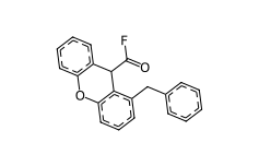 O=C(F)C1c2ccccc2Oc2cccc(Cc3ccccc3)c21